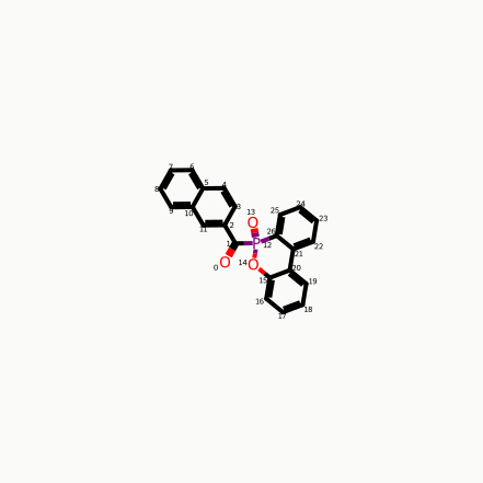 O=C(c1ccc2ccccc2c1)P1(=O)Oc2ccccc2-c2ccccc21